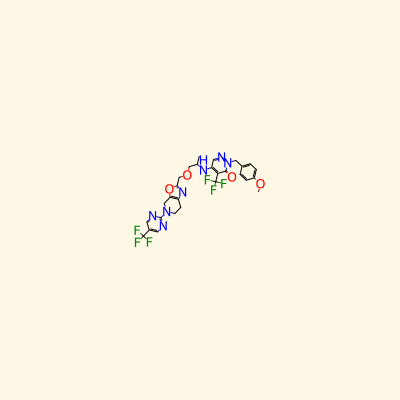 COc1ccc(Cn2ncc(NC(C)COCc3nc4c(o3)CN(c3ncc(C(F)(F)F)cn3)CC4)c(C(F)(F)F)c2=O)cc1